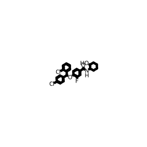 O=C(NC1CCCCC1O)c1ccc(OC(c2ccc(Cl)cc2)c2ccccc2Cl)c(F)c1